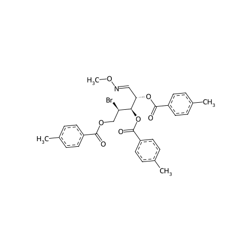 CON=C[C@H](OC(=O)c1ccc(C)cc1)[C@@H](OC(=O)c1ccc(C)cc1)[C@H](Br)COC(=O)c1ccc(C)cc1